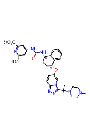 CCOC(=O)c1cc(NC(=O)N[C@H]2CC[C@@H](Oc3ccc4nnc(C(C)(C)N5CCN(C)CC5)n4c3)c3ccccc32)cc(C(C)(C)C)n1